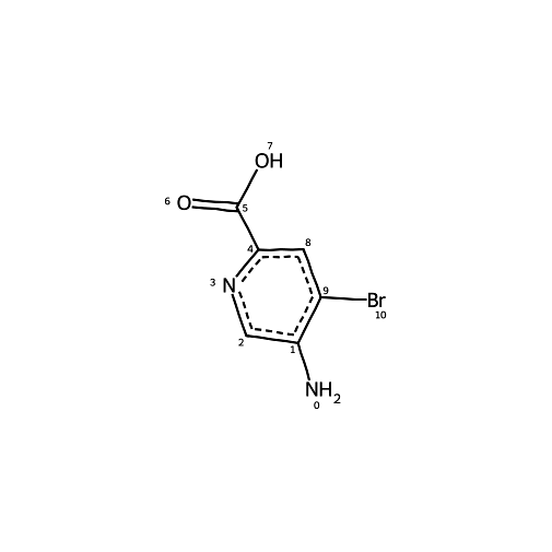 Nc1cnc(C(=O)O)cc1Br